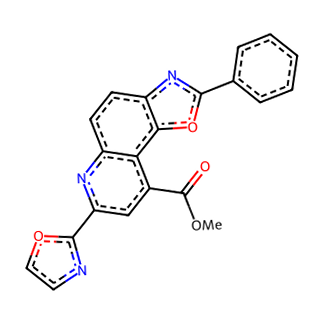 COC(=O)c1cc(-c2ncco2)nc2ccc3nc(-c4ccccc4)oc3c12